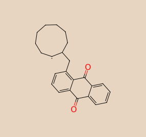 O=C1c2ccccc2C(=O)c2c(CC3[CH]CCCCCCC3)cccc21